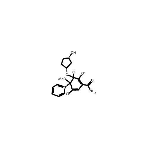 COC1([n+]2ccccc2)C(Cl)=CC(C(N)=O)=C([O-])C1(Cl)O[C@@H]1CC[C@@H](O)C1